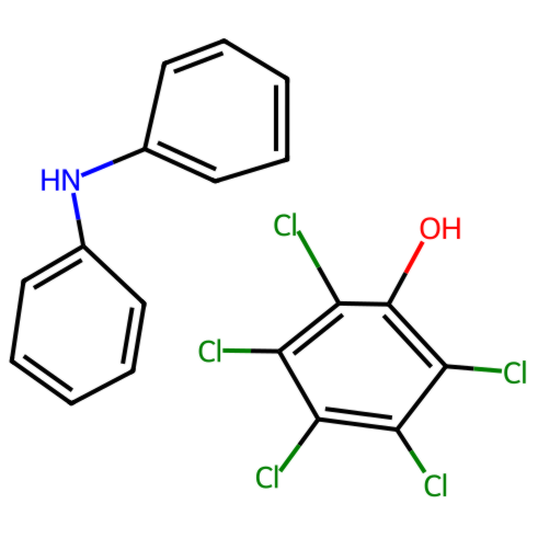 Oc1c(Cl)c(Cl)c(Cl)c(Cl)c1Cl.c1ccc(Nc2ccccc2)cc1